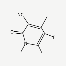 Cc1c(F)c(C)n(C)c(=O)c1C#N